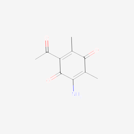 CC(=O)C1=C(C)C(=O)C(C)=C(N)C1=O